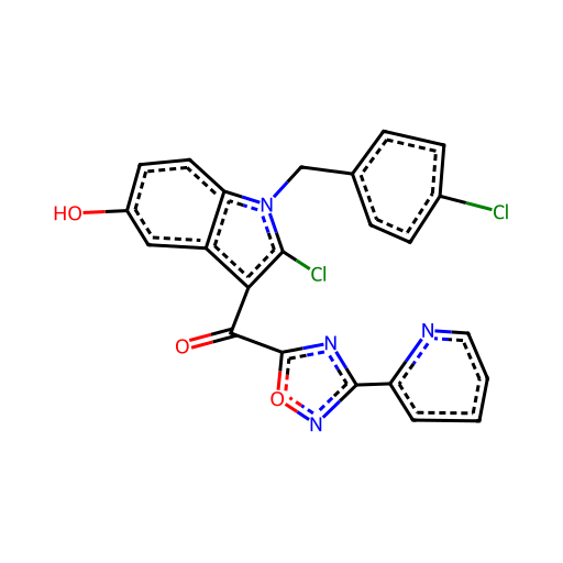 O=C(c1nc(-c2ccccn2)no1)c1c(Cl)n(Cc2ccc(Cl)cc2)c2ccc(O)cc12